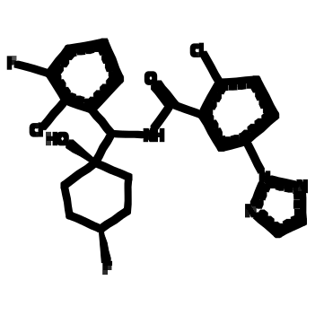 O=C(NC(c1cccc(F)c1Cl)[C@]1(O)CC[C@@H](F)CC1)c1cc(-n2nccn2)ccc1Cl